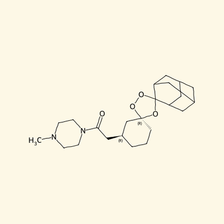 CN1CCN(C(=O)C[C@@H]2CCC[C@]3(C2)OOC2(O3)C3CC4CC(C3)CC2C4)CC1